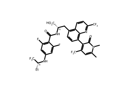 CC[C@@H](Nc1cc(F)c(C(=O)N[C@@H](Cc2ccc(-c3c(C(F)(F)F)cc(C)n(C)c3=O)c3nc(C(F)(F)F)ccc23)C(=O)O)c(F)c1)C(F)(F)F